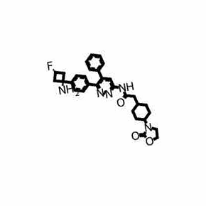 N[C@]1(c2ccc(-c3nnc(NC(=O)CC4CCC(N5CCOC5=O)CC4)cc3-c3ccccc3)cc2)C[C@@H](F)C1